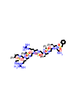 CC(C)C[C@H](C)CN(CC(=O)N[C@@H](CCCNC(=N)N)CN(CC(=O)N[C@@H](CCCNC(=N)N)CN(CC(=O)N[C@@H](CC(C)C)CN(CC(=O)N[C@@H](CC(C)C)CN(CC(N)=O)S(=O)(=O)Cc1ccccc1)S(=O)(=O)CC(C)C)S(C)(=O)=O)S(=O)(=O)CC(C)C)S(=O)(=O)CCN